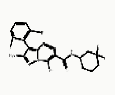 Cc1nn2c(C(C)C)c(C(=O)NC3CCCC(F)(F)C3)ccc2c1-c1c(F)cccc1F